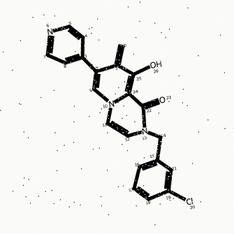 C=C1C(c2ccncc2)=CN2C=CN(Cc3cccc(Cl)c3)C(=O)C2=C1O